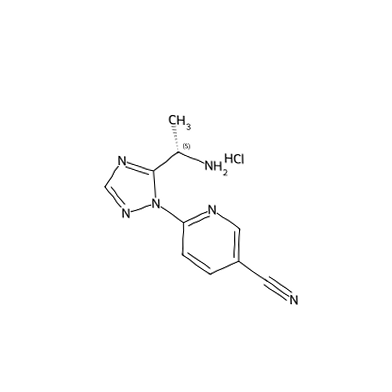 C[C@H](N)c1ncnn1-c1ccc(C#N)cn1.Cl